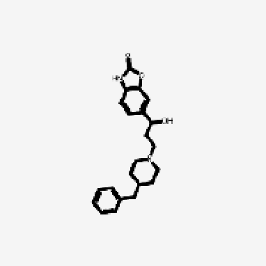 O=c1[nH]c2ccc(C(O)CCN3CCC(Cc4ccccc4)CC3)cc2o1